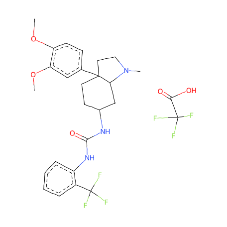 COc1ccc(C23CCC(NC(=O)Nc4ccccc4C(F)(F)F)CC2N(C)CC3)cc1OC.O=C(O)C(F)(F)F